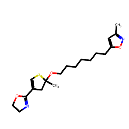 Cc1cc(CCCCCCCOC2(C)CC(C3=NCCO3)=CS2)on1